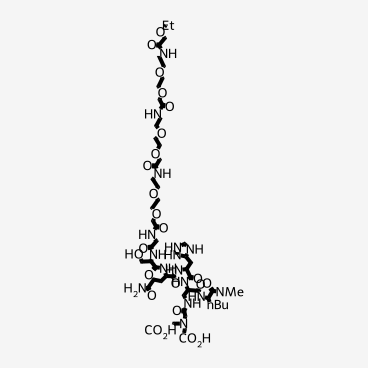 CCCCC(NC(=O)C(CNC(=O)CN(CC(=O)O)CC(=O)O)NC(=O)C(CC1NCNN1)NC(=O)C(CCC(N)=O)NC(=O)C(CO)NC(=O)CNC(=O)COCCOCCNC(=O)COCCOCCNC(=O)COCCOCCNC(=O)COCC)C(=O)NC